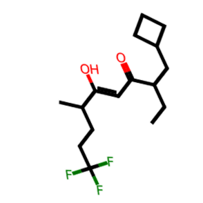 CCC(CC1CCC1)C(=O)/C=C(\O)C(C)CCC(F)(F)F